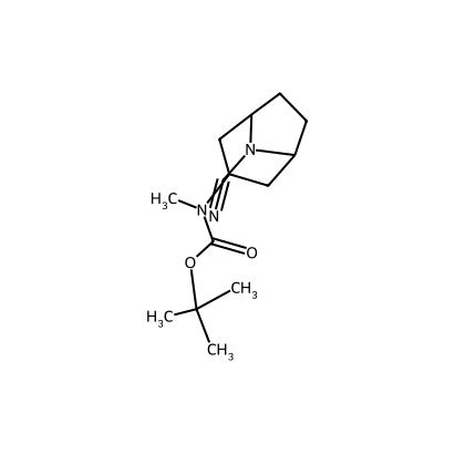 CN(C(=O)OC(C)(C)C)C1CC2CCC(C1)N2C#N